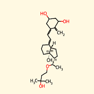 C=C1C(=CC=C2CCC[C@]3(C)[C@@H](C(C)OCCC(C)(C)O)CC[C@@H]23)CC(O)CC1O